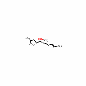 CCCCCCCCC=CCCCCCCC(CCCC)C(=O)O.O=S(=O)(O)O